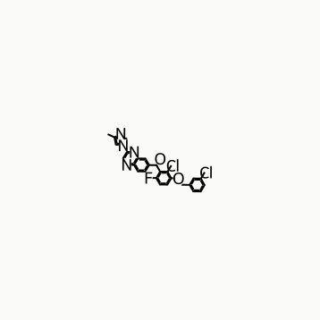 Cc1cn(-c2cnc3ccc(C(=O)c4c(F)ccc(OCc5cccc(Cl)c5)c4Cl)cc3n2)cn1